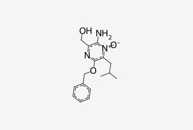 CC(C)Cc1c(OCc2ccccc2)nc(CO)c(N)[n+]1[O-]